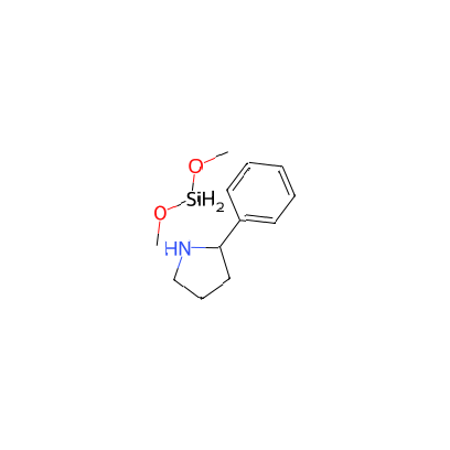 CO[SiH2]OC.c1ccc(C2CCCN2)cc1